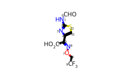 O=CNc1nc(C(=NOCC(F)(F)F)C(=O)O)cs1